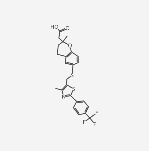 Cc1nc(-c2ccc(C(F)(F)F)cc2)sc1CSc1ccc2c(c1)CCC(C)(CC(=O)O)O2